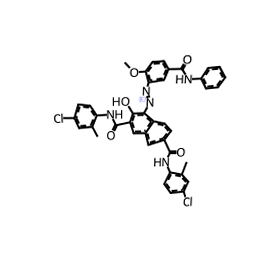 COc1ccc(C(=O)Nc2ccccc2)cc1/N=N/c1c(O)c(C(=O)Nc2ccc(Cl)cc2C)cc2cc(C(=O)Nc3ccc(Cl)cc3C)ccc12